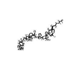 CCCCCCC=CCC(CC(C)=O)OC(=O)CC(CCCC)OC(=O)CC(C)OC(=O)CC(CCSc1ccc(S(=O)(=O)O)cc1)OC